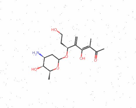 C=C(/C(O)=C(\C)C(C)=O)[C@H](CCO)OC1C[C@H](N)[C@H](O)[C@H](C)O1